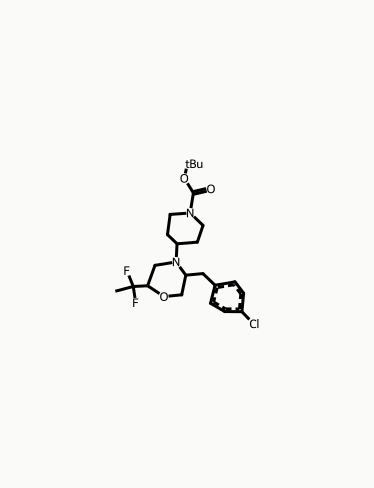 CC(C)(C)OC(=O)N1CCC(N2CC(C(C)(F)F)OCC2Cc2ccc(Cl)cc2)CC1